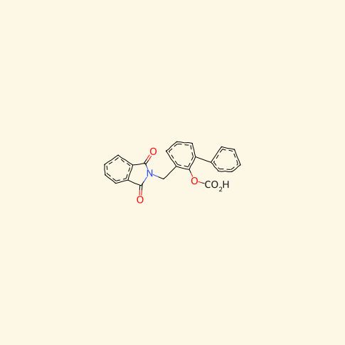 O=C(O)Oc1c(CN2C(=O)c3ccccc3C2=O)cccc1-c1ccccc1